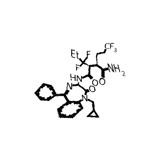 CCC(F)(F)[C@H](C(=O)N[C@H]1N=C(c2ccccc2)c2ccccc2N(CC2CC2)C1=O)[C@@H](CCC(F)(F)F)C(N)=O